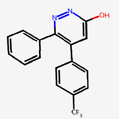 Oc1cc(-c2ccc(C(F)(F)F)cc2)c(-c2ccccc2)nn1